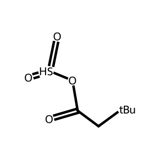 CC(C)(C)CC(=O)O[SH](=O)=O